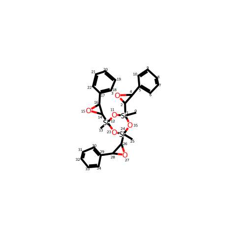 C[Si]1(C2OC2c2ccccc2)O[Si](C)(C2OC2c2ccccc2)O[Si](C)(C2OC2c2ccccc2)O1